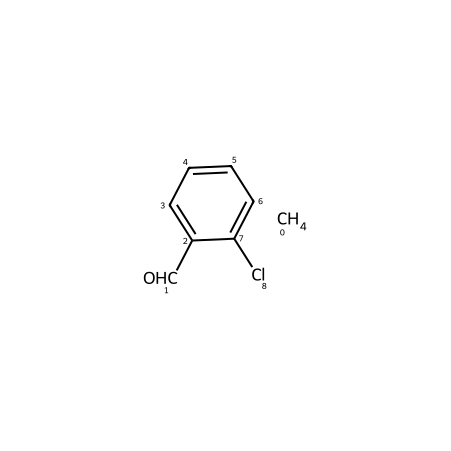 C.O=Cc1ccccc1Cl